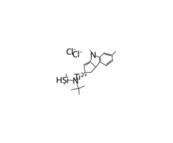 Cc1ccc2c(c1)N(C)C1=C[CH]([Ti+2][N]([SiH](C)C)C(C)(C)C)CC12.[Cl-].[Cl-]